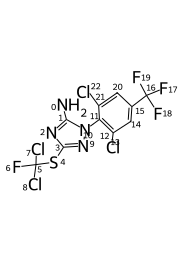 Nc1nc(SC(F)(Cl)Cl)nn1-c1c(Cl)cc(C(F)(F)F)cc1Cl